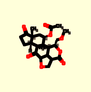 COC[C@@H]1OC(=O)C2COC3C(=O)C4=C([C@@H](OC(C)=O)C[C@@]5(C)C(=O)CC[C@H]45)[C@@]1(C)C23